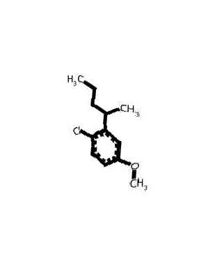 CCCC(C)c1cc(OC)ccc1Cl